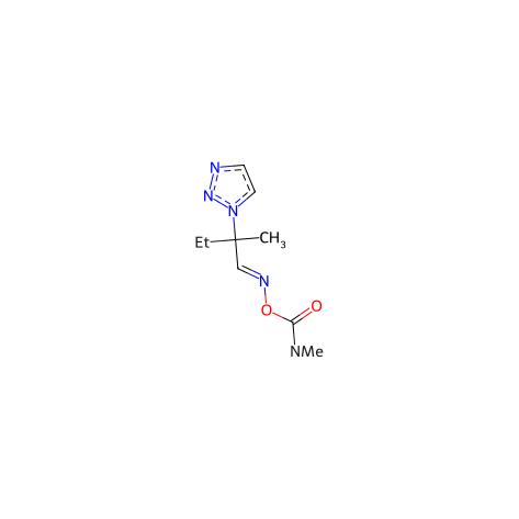 CCC(C)(C=NOC(=O)NC)n1ccnn1